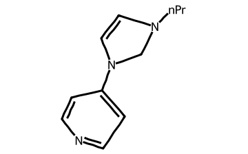 CCCN1C=CN(c2ccncc2)C1